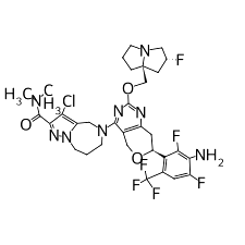 CN(C)C(=O)c1nn2c(c1Cl)CN(c1nc(OC[C@@]34CCCN3C[C@H](F)C4)nc3c1CO[C@H](c1c(C(F)(F)F)cc(F)c(N)c1F)C3)CCC2